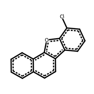 Clc1cccc2c1oc1c3ccccc3ccc21